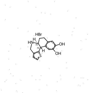 Br.Oc1cc2c(cc1O)[C@@H]1c3sccc3CN[C@H]1CC2